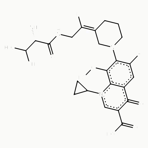 COc1c(N2CCC/C(=C(\F)CNC(=O)[C@@H](N)C(C)C)C2)c(F)cc2c(=O)c(C(=O)O)cn(C3CC3)c12